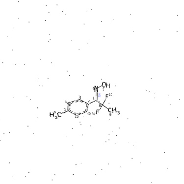 Cc1ccc(/C(=N/O)C(C)(F)F)cc1